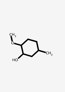 COC1CCC(C)CC1O